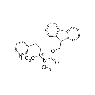 CN(C(=O)OCC1c2ccccc2-c2ccccc21)[C@@H](CCc1cccnc1)C(=O)O